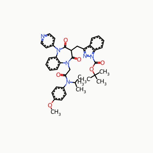 COc1ccc(N(C(=O)CN2C(=O)C(Cc3nn(C(=O)OC(C)(C)C)c4ccccc34)C(=O)N(c3ccncc3)c3ccccc32)C(C)C)cc1